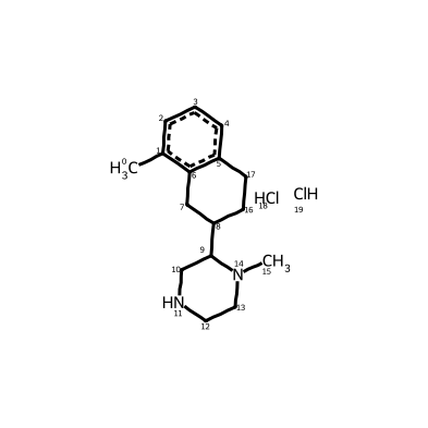 Cc1cccc2c1CC(C1CNCCN1C)CC2.Cl.Cl